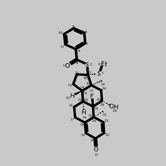 CCS[C@@]1(SC(=O)c2ccccc2)CC[C@H]2[C@@H]3CCC4=CC(=O)C=C[C@]4(C)C3(F)[C@@H](O)C[C@@]21C